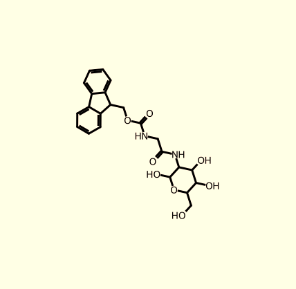 O=C(CNC(=O)OCC1c2ccccc2-c2ccccc21)NC1C(O)OC(CO)C(O)C1O